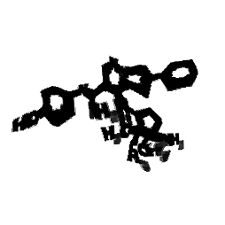 CC1(C)[C@H](Nc2c(/C(N)=N/c3ccc(O)cc3)cnn3cc(-c4ccccc4)cc23)CC[C@]1(C)N